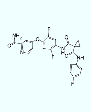 NC(=O)c1cc(Oc2cc(F)c(NC(=O)C3(C(=O)Nc4ccc(F)cc4)CC3)cc2F)ccn1